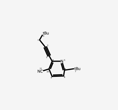 CC(C)(C)CC#Cc1nc(C(C)(C)C)ccc1C#N